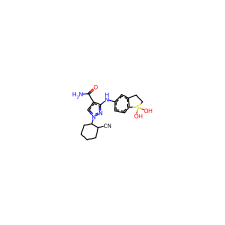 N#CC1CCCCC1n1cc(C(N)=O)c(Nc2ccc3c(c2)CCS3(O)O)n1